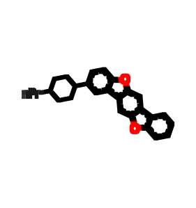 CCCC1CCC(c2ccc3oc4cc5c(cc4c3c2)oc2ccccc25)CC1